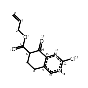 C=CCOC(=O)C1CCc2cnc(Cl)nc2C1=O